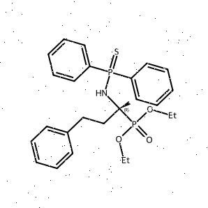 CCOP(=O)(OCC)[C@](C)(CCc1ccccc1)NP(=S)(c1ccccc1)c1ccccc1